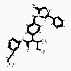 CC(CC#N)C(C(=O)Nc1cccc(CCC(=O)O)c1)c1ccc(CN2N=C(c3ccccc3)OCC2=O)cc1